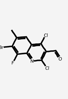 Cc1cc2c(Cl)c(C=O)c(Cl)nc2c(F)c1Br